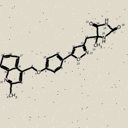 Cc1cc(COc2ccc(-c3cc(CC4(C)NC(=O)NC4=O)no3)cc2)c2ccccc2n1